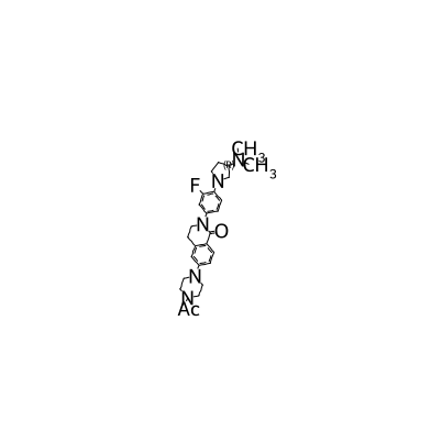 CC(=O)N1CCN(c2ccc3c(c2)CCN(c2ccc(N4CC[C@@H](N(C)C)C4)c(F)c2)C3=O)CC1